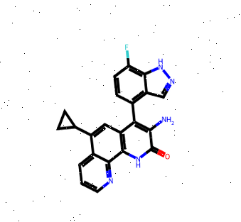 Nc1c(-c2ccc(F)c3[nH]ncc23)c2cc(C3CC3)c3cccnc3c2[nH]c1=O